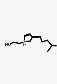 CC(C)CCC=C1C=C[SH](CCO)C1